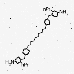 CCCc1cc(N)ccc1Cc1ccc(CCCCCCCCCCc2ccc(Cc3ccc(N)cc3CCC)cc2)cc1